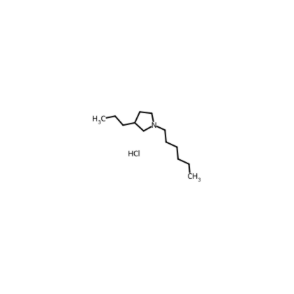 CCCCCCN1CCC(CCC)C1.Cl